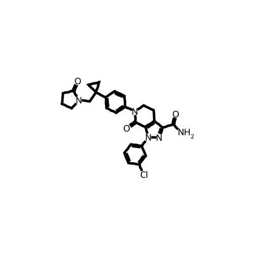 NC(=O)c1nn(-c2cccc(Cl)c2)c2c1CCN(c1ccc(C3(CN4CCCC4=O)CC3)cc1)C2=O